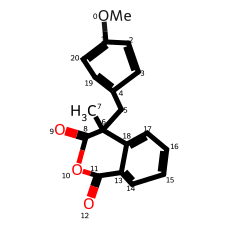 COc1ccc(CC2(C)C(=O)OC(=O)c3ccccc32)cc1